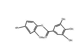 CCCc1ccc(OC(=O)c2cc(O)c(O)c(O)c2)c(OC)c1